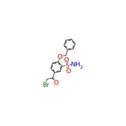 NS(=O)(=O)c1cc(C(=O)CBr)ccc1OCc1ccccc1